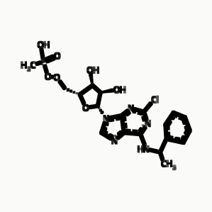 CC(Nc1nc(Cl)nc2c1ncn2[C@@H]1O[C@H](COOP(C)(=O)O)[C@@H](O)[C@H]1O)c1ccccc1